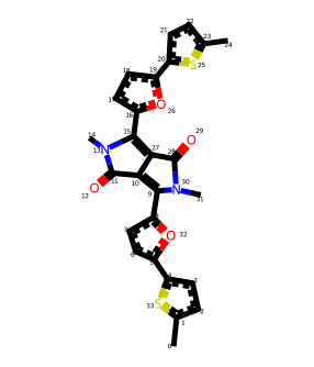 Cc1ccc(-c2ccc(C3=C4C(=O)N(C)C(c5ccc(-c6ccc(C)s6)o5)=C4C(=O)N3C)o2)s1